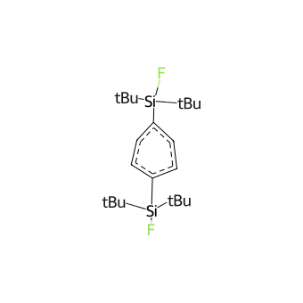 CC(C)(C)[Si](F)(c1ccc([Si](F)(C(C)(C)C)C(C)(C)C)cc1)C(C)(C)C